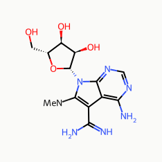 CNc1c(C(=N)N)c2c(N)ncnc2n1[C@@H]1O[C@H](CO)[C@@H](O)[C@H]1O